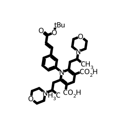 CC(CC1=C(C(=O)O)CC(C(=O)O)=C(CC(C)N2CCOCC2)N1c1cccc(C=CC(=O)OC(C)(C)C)c1)N1CCOCC1